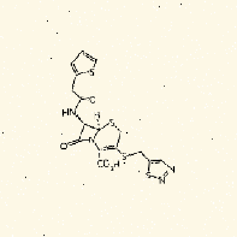 O=C(Cc1cccs1)N[C@@H]1C(=O)N2C(C(=O)O)=C(SCc3cnns3)CS[C@H]12